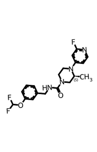 C[C@H]1CN(C(=O)NCc2cccc(OC(F)F)c2)CCN1c1ccnc(F)c1